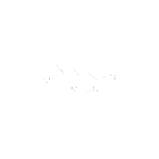 C=C(/C=c1/cc(C#N)nc/c1=C/C)OC